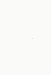 [F-].[F-].[F-].[F-].[F-].[F-].[Ga+3].[Ga+3]